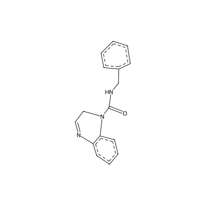 O=C(NCc1ccccc1)N1CC=Nc2ccccc21